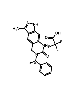 C[C@H](c1ccccc1)N1Cc2cc3c(N)n[nH]c3cc2NC1=O.O=C(O)C(F)(F)F